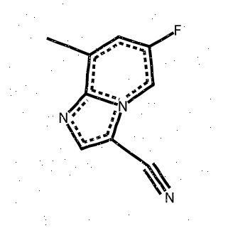 Cc1cc(F)cn2c(C#N)cnc12